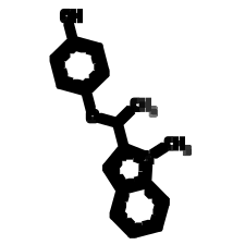 CC(Oc1ccc(O)cc1)c1cc2ccccc2n1C